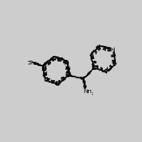 NC(c1ccncc1)c1ccc(Cl)cc1